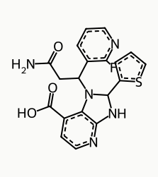 NC(=O)CC(c1cccnc1F)N1c2c(C(=O)O)ccnc2NC1c1cccs1